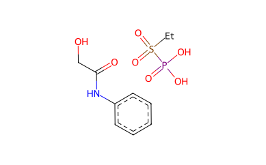 CCS(=O)(=O)P(=O)(O)O.O=C(CO)Nc1ccccc1